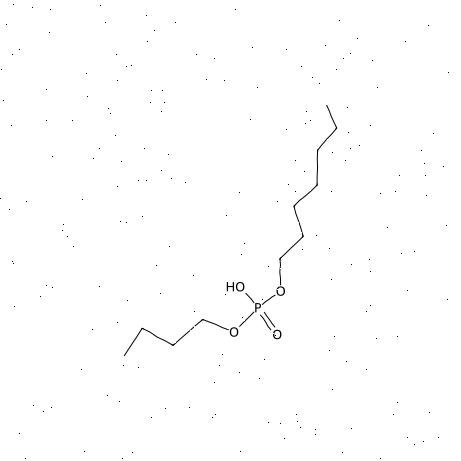 CCCCCCCOP(=O)(O)OCCCC